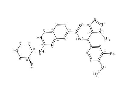 COc1ccc(C(NC(=O)c2ccc3cnc(N[C@H]4CCOC[C@@H]4F)nc3c2)c2ccnn2C)cc1F